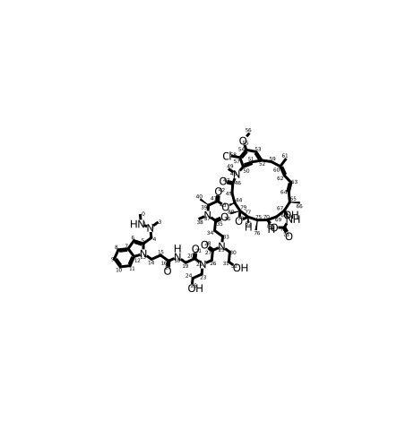 CNN(C)Cc1cc2ccccc2n1CCC(=O)NCC(=O)N(CCO)CC(=O)N(CCO)CCC(=O)N(C)[C@@H](C)C(=O)O[C@H]1CC(=O)N(C)c2cc(cc(OC)c2Cl)C/C(C)=C/C=C/[C@@H](C)[C@@]2(O)C[C@H](OC(=O)N2)[C@@H](C)[C@@H]2O[C@]12C